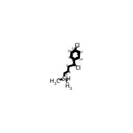 C[SiH](C)CCCC(Cl)c1ccc(Cl)cc1